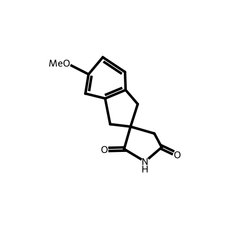 COc1ccc2c(c1)CC1(CC(=O)NC1=O)C2